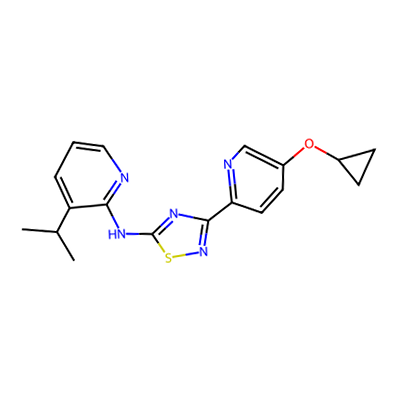 CC(C)c1cccnc1Nc1nc(-c2ccc(OC3CC3)cn2)ns1